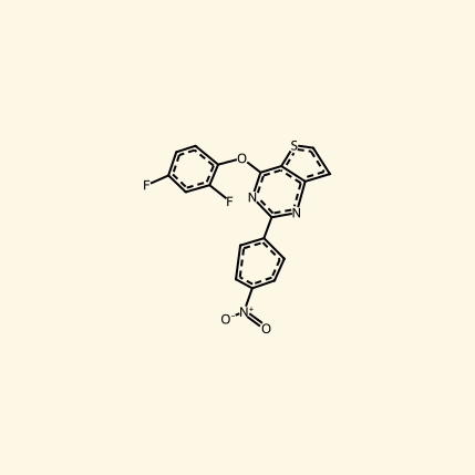 O=[N+]([O-])c1ccc(-c2nc(Oc3ccc(F)cc3F)c3sccc3n2)cc1